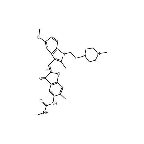 CNC(=O)Nc1cc2c(cc1C)O/C(=C\c1c(C)n(CCN3CCN(C)CC3)c3ccc(OC)cc13)C2=O